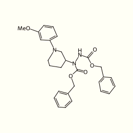 COc1cccc(N2CCCC(N(NC(=O)OCc3ccccc3)C(=O)OCc3ccccc3)C2)c1